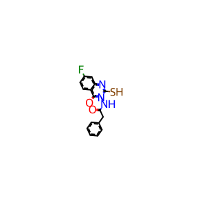 O=C(Cc1ccccc1)Nn1c(S)nc2cc(F)ccc2c1=O